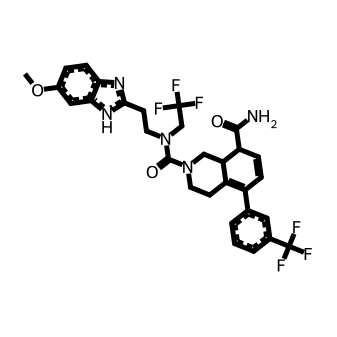 COc1ccc2nc(CCN(CC(F)(F)F)C(=O)N3CCC4=C(c5cccc(C(F)(F)F)c5)C=CC(C(N)=O)C4C3)[nH]c2c1